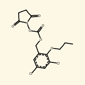 CCCOc1c(Cl)cc(Cl)cc1COC(=O)ON1C(=O)CCC1=O